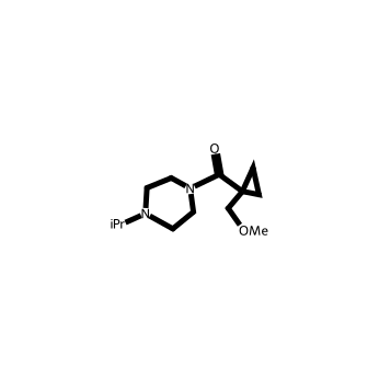 COCC1(C(=O)N2CCN(C(C)C)CC2)CC1